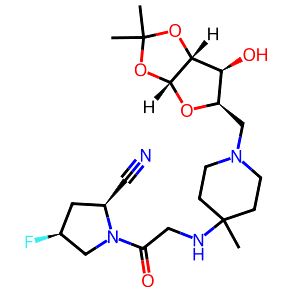 CC1(NCC(=O)N2C[C@@H](F)C[C@H]2C#N)CCN(C[C@H]2O[C@@H]3OC(C)(C)O[C@@H]3[C@H]2O)CC1